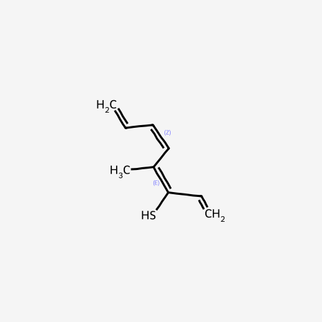 C=C/C=C\C(C)=C(\S)C=C